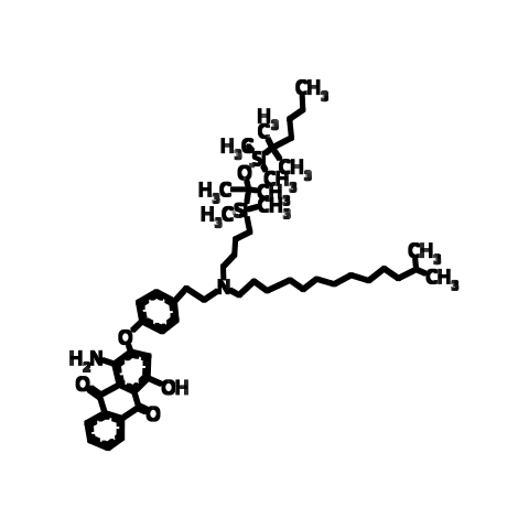 CCCCC(C)(C)[Si](C)(C)OC(C)(C)[Si](C)(C)CCCCN(CCCCCCCCCCCC(C)C)CCc1ccc(Oc2cc(O)c3c(c2N)C(=O)c2ccccc2C3=O)cc1